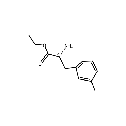 CCOC(=O)[C@H](N)Cc1cccc(C)c1